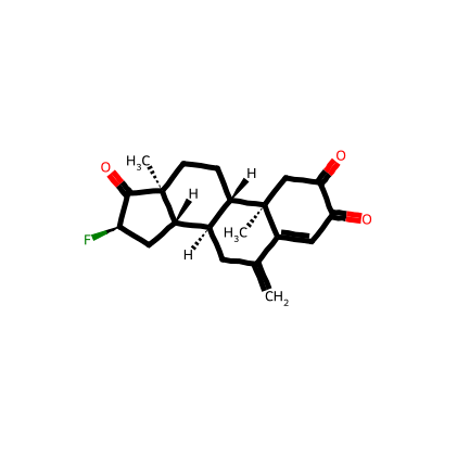 C=C1C[C@@H]2[C@H](CC[C@]3(C)C(=O)[C@H](F)C[C@@H]23)[C@@]2(C)CC(=O)C(=O)C=C12